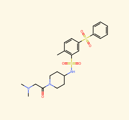 Cc1ccc(S(=O)(=O)c2ccccc2)cc1S(=O)(=O)NC1CCN(C(=O)CN(C)C)CC1